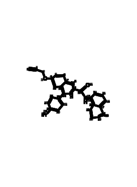 C#CCOc1ccc2nc(C(=O)Nc3cccc4ncccc34)nc(-c3ccc(C(C)C)cc3)c2c1